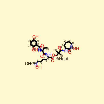 CCCCCCC[C@H](OC(=O)[C@@H](CCCCN(O)C=O)NC(=O)c1nc(-c2cc(O)ccc2O)oc1C)C(C)(C)C(=O)N[C@H]1CCCCN(O)C1=O